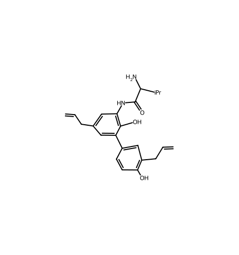 C=CCc1cc(NC(=O)C(N)C(C)C)c(O)c(-c2ccc(O)c(CC=C)c2)c1